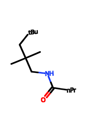 CCCC(=O)NCC(C)(C)CC(C)(C)C